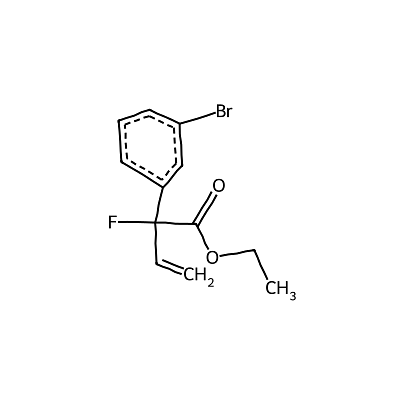 C=CC(F)(C(=O)OCC)c1cccc(Br)c1